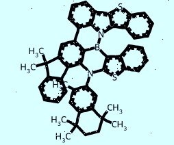 Cc1cc2c(cc1N1c3sc4ccccc4c3B3c4c(cc5c(c41)-c1ccccc1C5(C)C)-c1cccc4c5sc6ccccc6c5n3c14)C(C)(C)CCC2(C)C